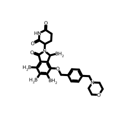 Bc1c(B)c(OCc2ccc(CN3CCOCC3)cc2)c2c(c1B)C(=O)N(C1CCC(=O)NC1=O)C2B